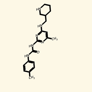 Cc1ccc(NC(=O)Nc2nc(C)cc(NCC3CCCNC3)n2)cc1